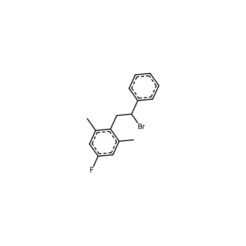 Cc1cc(F)cc(C)c1CC(Br)c1ccccc1